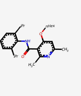 CCCCCCOc1cc(C)nc(C)c1C(=O)Nc1c(C(C)C)cccc1C(C)C